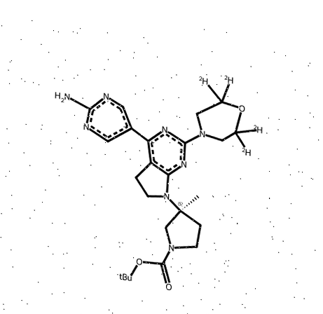 [2H]C1([2H])CN(c2nc(-c3cnc(N)nc3)c3c(n2)N([C@@]2(C)CCN(C(=O)OC(C)(C)C)C2)CC3)CC([2H])([2H])O1